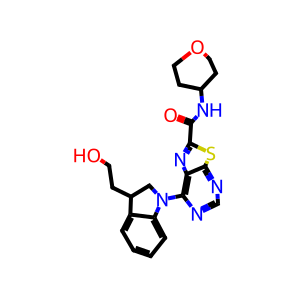 O=C(NC1CCOCC1)c1nc2c(N3CC(CCO)c4ccccc43)ncnc2s1